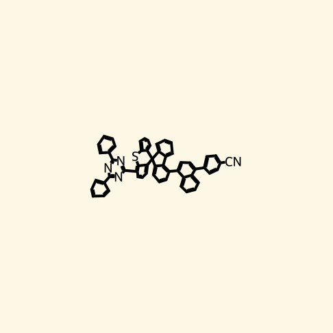 N#Cc1ccc(-c2ccc(-c3cccc4c3-c3ccccc3C43c4ccccc4Sc4c(-c5nc(-c6ccccc6)nc(-c6ccccc6)n5)cccc43)c3ccccc23)cc1